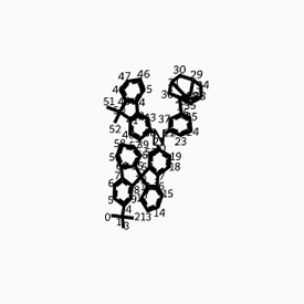 CC(C)(C)c1ccc2c(c1)C1(c3ccccc3-c3ccc(N(c4cccc(C56CC7CC(CC(C7)C5)C6)c4)c4ccc5c(c4)-c4ccccc4C5(C)C)cc31)c1ccccc1-2